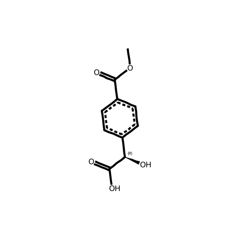 COC(=O)c1ccc([C@@H](O)C(=O)O)cc1